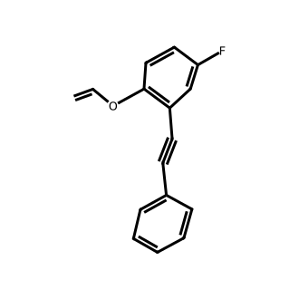 C=COc1ccc(F)cc1C#Cc1ccccc1